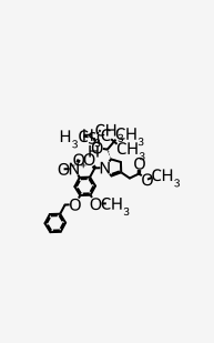 COC(=O)CC1=CN(C(=O)c2cc(OC)c(OCc3ccccc3)cc2[N+](=O)[O-])[C@H](C(O[SiH](C)C)C(C)(C)C)C1